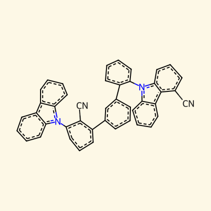 N#Cc1c(-c2cccc(-c3ccccc3-n3c4ccccc4c4c(C#N)cccc43)c2)cccc1-n1c2ccccc2c2ccccc21